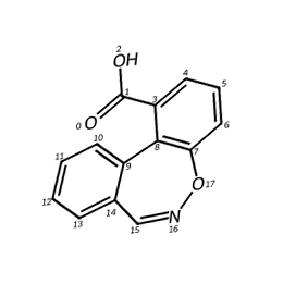 O=C(O)c1cccc2c1-c1ccccc1C=NO2